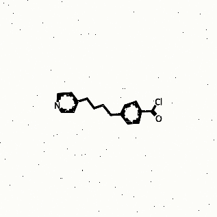 O=C(Cl)c1ccc(CCCCc2ccncc2)cc1